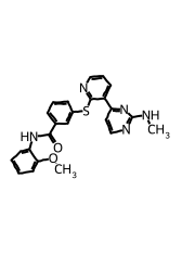 CNc1nccc(-c2cccnc2Sc2cccc(C(=O)Nc3ccccc3OC)c2)n1